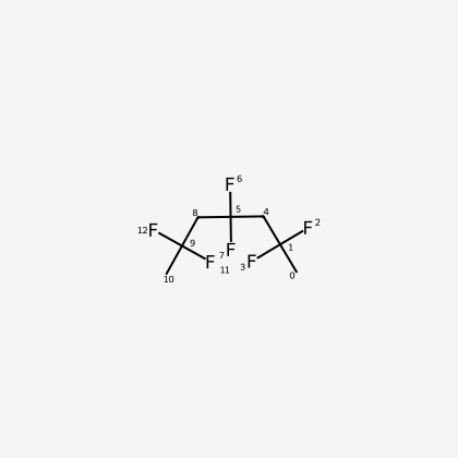 CC(F)(F)CC(F)(F)CC(C)(F)F